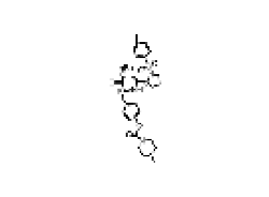 CCCCOC(=O)[C@H](Cc1ccc(OC(=O)N2CCN(C)CC2)cc1)NC(=O)[C@@H]1CCCN1S(=O)(=O)c1ccc(C)cc1